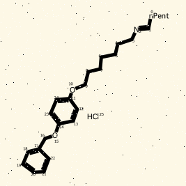 CCCCCC=NCCCCCCCOc1ccc(OCc2ccccc2)cc1.Cl